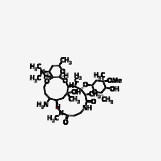 CO[C@]1(C)C[C@H](O[C@H]2[C@H](C)[C@H]3O[C@@H]4O[C@H](C)C[C@H](N(C)C)[C@H]4OCCC(N)[C@@H](CN(C)C(=O)CCNC(=O)[C@@H]2C)C[C@@]3(C)O)O[C@@H](C)[C@@H]1O